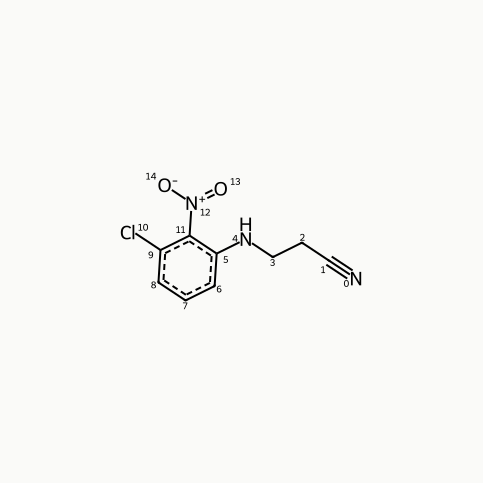 N#CCCNc1cccc(Cl)c1[N+](=O)[O-]